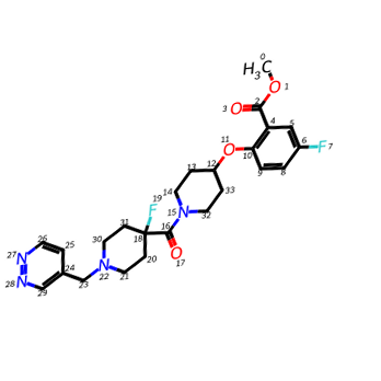 COC(=O)c1cc(F)ccc1OC1CCN(C(=O)C2(F)CCN(Cc3ccnnc3)CC2)CC1